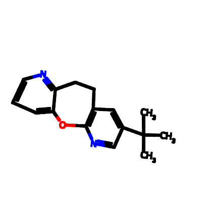 CC(C)(C)c1cnc2c(c1)CCc1ncccc1O2